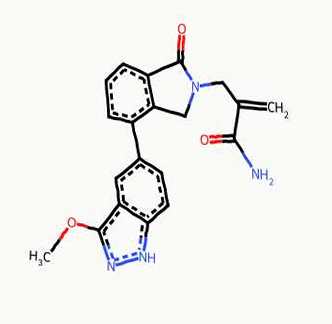 C=C(CN1Cc2c(cccc2-c2ccc3[nH]nc(OC)c3c2)C1=O)C(N)=O